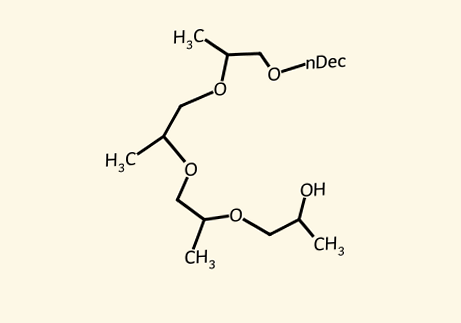 CCCCCCCCCCOCC(C)OCC(C)OCC(C)OCC(C)O